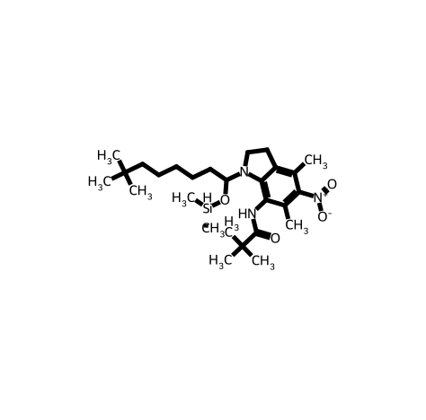 Cc1c2c(c(NC(=O)C(C)(C)C)c(C)c1[N+](=O)[O-])N(C(CCCCCC(C)(C)C)O[SiH](C)C)CC2